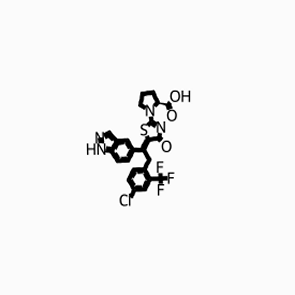 O=C1N=C(N2CCC[C@H]2C(=O)O)SC1=C(Cc1ccc(Cl)cc1C(F)(F)F)c1ccc2[nH]ncc2c1